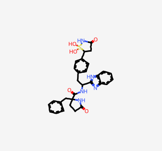 O=C1CCC(Cc2ccccc2)(C(=O)NC(Cc2ccc(C3CC(=O)NS3(O)O)cc2)c2nc3ccccc3[nH]2)N1